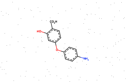 Nc1ccc(Oc2ccc(C(=O)O)c(O)c2)cc1